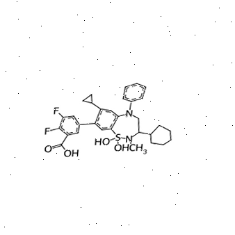 CN1C(C2CCCCC2)CN(c2ccccc2)c2cc(C3CC3)c(-c3cc(F)c(F)c(C(=O)O)c3)cc2S1(O)O